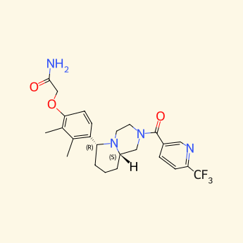 Cc1c(OCC(N)=O)ccc([C@H]2CCC[C@H]3CN(C(=O)c4ccc(C(F)(F)F)nc4)CCN32)c1C